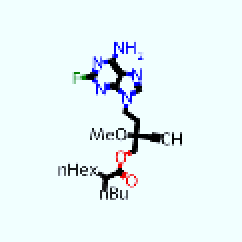 C#CC(CCn1cnc2c(N)nc(F)nc21)(COC(=O)C(CCCC)CCCCCC)OC